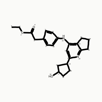 CCOC(=O)Cc1ccc(Nc2cc(C3CCC(O)C3)nc3c2CCC3)cc1